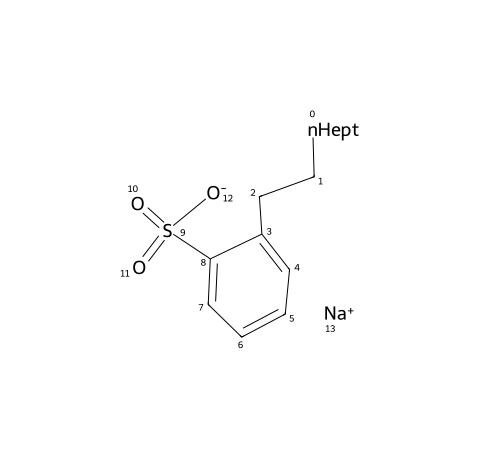 CCCCCCCCCc1ccccc1S(=O)(=O)[O-].[Na+]